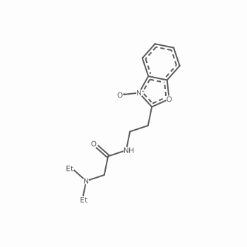 CCN(CC)CC(=O)NCCc1oc2ccccc2[n+]1[O-]